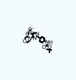 CC(C)(C)OC(=O)Nc1ccc(-c2ncc([N+](=O)[O-])c(N3CCOCC3)n2)cc1